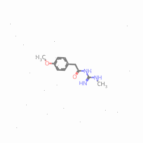 CNC(=N)NC(=O)Cc1ccc(OC)cc1